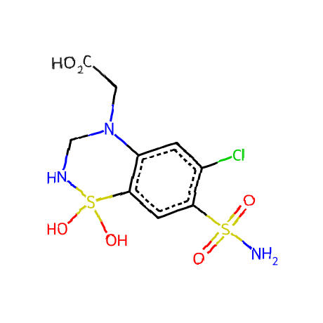 NS(=O)(=O)c1cc2c(cc1Cl)N(CC(=O)O)CNS2(O)O